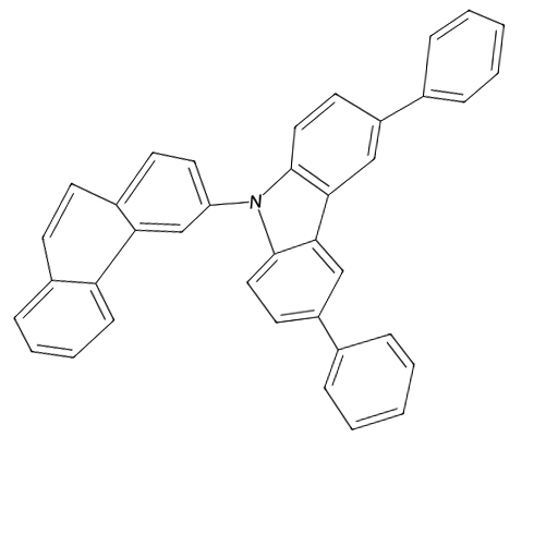 c1ccc(-c2ccc3c(c2)c2cc(-c4ccccc4)ccc2n3-c2ccc3ccc4ccccc4c3c2)cc1